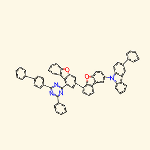 c1ccc(-c2ccc(-c3nc(-c4ccccc4)nc(-c4cc(-c5cccc6c5oc5ccc(-n7c8ccccc8c8cc(-c9ccccc9)ccc87)cc56)cc5oc6ccccc6c45)n3)cc2)cc1